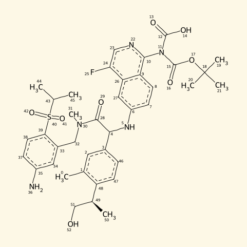 Cc1cc(C(Nc2ccc3c(N(C(=O)O)C(=O)OC(C)(C)C)ncc(F)c3c2)C(=O)N(C)Cc2cc(N)ccc2S(=O)(=O)C(C)C)ccc1[C@@H](C)CO